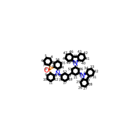 O=P1(c2ccccc2)c2ccccc2N(c2cccc(-c3cc(-n4c5ccccc5c5ccccc54)cc(-n4c5ccccc5c5ccccc54)c3)c2)c2ccccc21